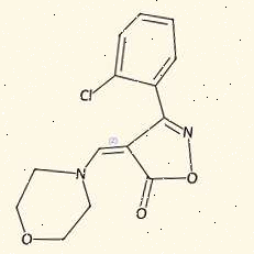 O=C1ON=C(c2ccccc2Cl)/C1=C/N1CCOCC1